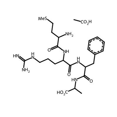 CC(=O)O.CSCCC(N)C(=O)NC(CCCNC(=N)N)C(=O)NC(Cc1ccccc1)C(=O)NC(C)C(=O)O